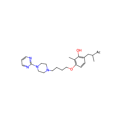 CC(=O)C(C)Cc1ccc(OCCCCN2CCN(c3ncccn3)CC2)c(C)c1O